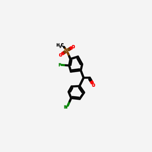 CS(=O)(=O)c1ccc(C(C=O)c2ccc(Br)cc2)cc1F